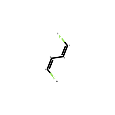 F/C=C\C=C/F